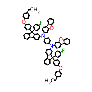 C=Cc1ccc(Oc2ccc(C3(c4ccc(F)cc4)c4ccccc4-c4ccc(N(c5ccc(N(c6ccc7c(c6)C(c6ccc(F)cc6)(c6ccc(Oc8ccc(C=C)cc8)cc6)c6ccccc6-7)c6ccc7c(c6)oc6ccccc67)cc5)c5ccc6c(c5)oc5ccccc56)cc43)cc2)cc1